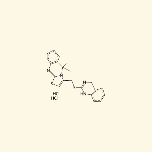 CC1(C)c2ccccc2N=C2SC=C(CSC3=NCc4ccccc4N3)N21.Cl.Cl